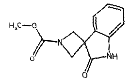 COC(=O)N1CC2(C1)C(=O)Nc1ccccc12